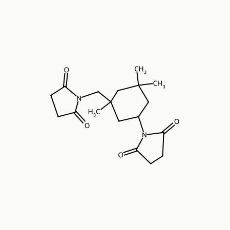 CC1(C)CC(N2C(=O)CCC2=O)CC(C)(CN2C(=O)CCC2=O)C1